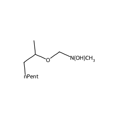 CCCCCCC(C)OCN(C)O